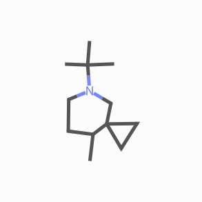 CC1CCN(C(C)(C)C)CC12CC2